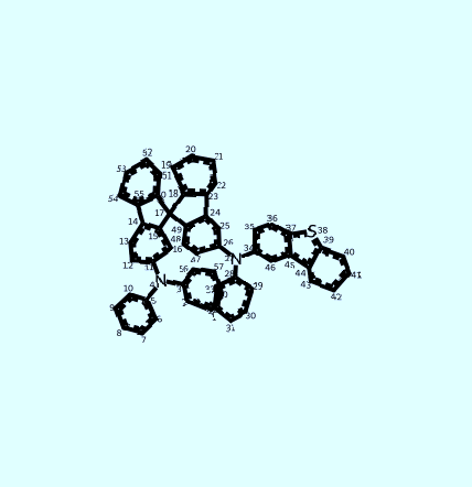 c1ccc(N(c2ccccc2)c2ccc3c(c2)C2(c4ccccc4-c4cc(N(c5ccccc5)c5ccc6sc7ccccc7c6c5)ccc42)c2ccccc2-3)cc1